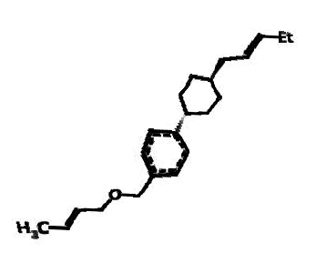 CC=CCOCc1ccc([C@H]2CC[C@H](CC=CCC)CC2)cc1